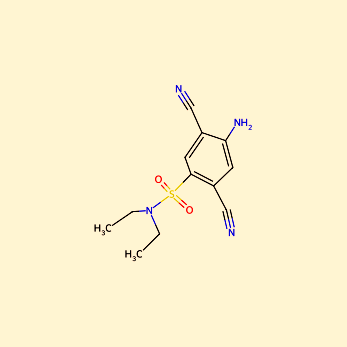 CCN(CC)S(=O)(=O)c1cc(C#N)c(N)cc1C#N